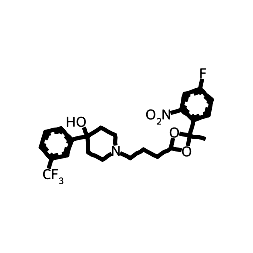 CC1(c2ccc(F)cc2[N+](=O)[O-])OC(CCCN2CCC(O)(c3cccc(C(F)(F)F)c3)CC2)O1